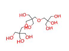 OCC(O)(CO)COCC(CO)(CO)COCC(CO)(CO)CO